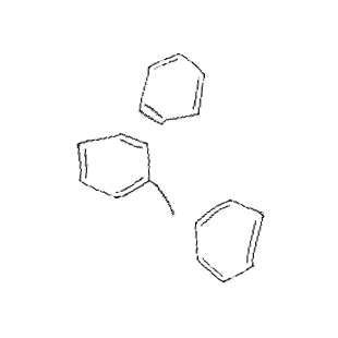 Cc1ccccc1.c1ccccc1.c1ccccc1